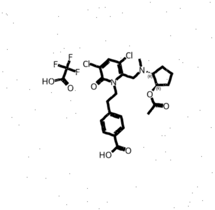 CC(=O)O[C@@H]1CCC[C@H]1N(C)Cc1c(Cl)cc(Cl)c(=O)n1CCc1ccc(C(=O)O)cc1.O=C(O)C(F)(F)F